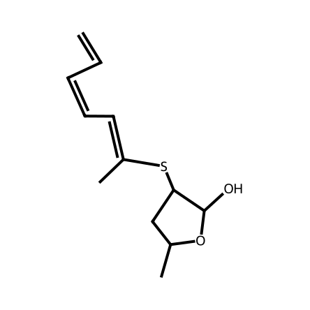 C=C/C=C\C=C(/C)SC1CC(C)OC1O